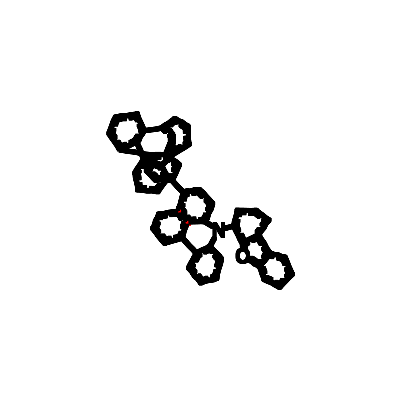 c1ccc(-c2ccccc2N(c2ccc(-c3ccc4c(c3)-c3c5cccc3-c3cccc-4c3-c3ccccc3-5)cc2)c2cccc3c2oc2ccccc23)cc1